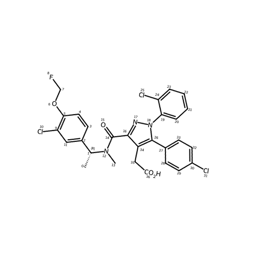 C[C@H](c1ccc(OCF)c(Cl)c1)N(C)C(=O)c1nn(-c2ccccc2Cl)c(-c2ccc(Cl)cc2)c1CC(=O)O